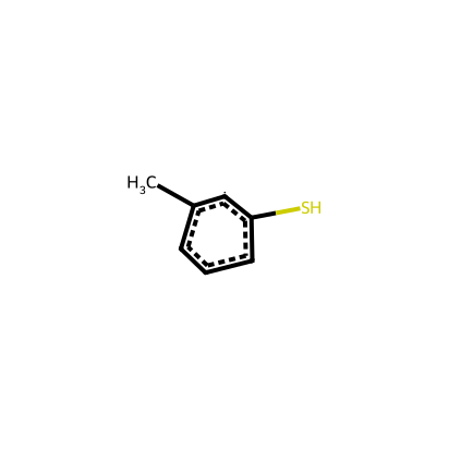 Cc1[c]c(S)ccc1